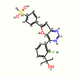 CC(C)(O)c1cccc(-c2ncnc3cc(-c4ccc(S(C)(=O)=O)cc4)oc23)c1F